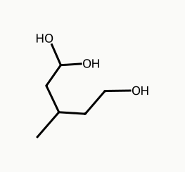 CC(CCO)CC(O)O